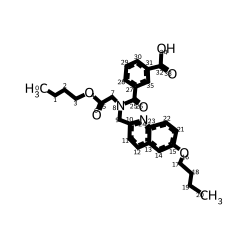 CCCCOC(=O)CN(Cc1ccc2cc(OCCCC)ccc2n1)C(=O)c1cccc(C(=O)O)c1